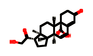 C[C@]12CC[C@H]3[C@@H](C=CC4=CC(=O)CC[C@]43C(=O)O)[C@@H]1CC[C@@H]2C(=O)CO